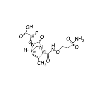 CC1=C[C@@H]2CN(C(=O)N2O[C@@H](F)C(=O)O)[C@@H]1C(=O)NOCCS(N)(=O)=O